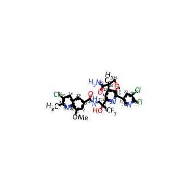 COc1cc(C(=O)NCC(O)(c2cc3c(c(-c4cnc(Cl)c(Cl)c4)n2)OC[C@]3(C)C(N)=O)C(F)(F)F)cc2cc(Cl)c(C)nc12